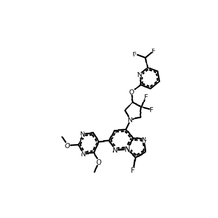 COc1ncc(-c2cc(N3CC(Oc4cccc(C(F)F)n4)C(F)(F)C3)c3ncc(F)n3n2)c(OC)n1